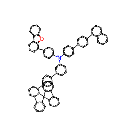 c1cc(-c2ccc(-c3cccc4c3C3(c5ccccc5-c5ccccc53)c3ccccc3-4)cc2)cc(N(c2ccc(-c3ccc(-c4cccc5ccccc45)cc3)cc2)c2ccc(-c3cccc4c3oc3ccccc34)cc2)c1